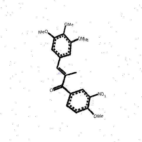 COc1ccc(C(=O)/C(C)=C/c2cc(OC)c(OC)c(OC)c2)cc1[N+](=O)[O-]